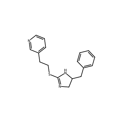 c1ccc(CC2CN=C(SCCc3cccnc3)N2)cc1